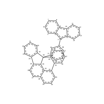 c1cc(-n2c3ccccc3c3ccccc32)cc(C23c4ccccc4-c4ccc5cccc(c5c42)-c2ccccc23)c1